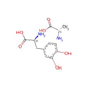 C[C@H](N)C(=O)O.N[C@@H](Cc1ccc(O)c(O)c1)C(=O)O